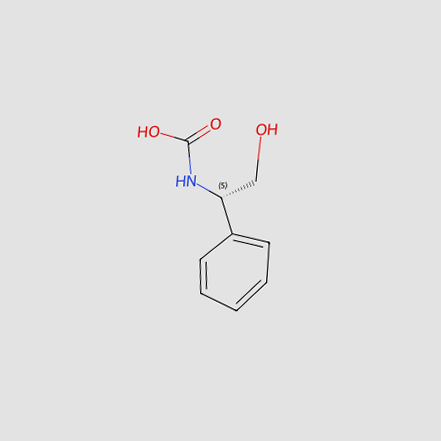 O=C(O)N[C@H](CO)c1ccccc1